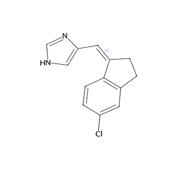 Clc1ccc2c(c1)CC/C2=C/c1c[nH]cn1